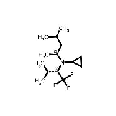 CC(C)C[C@H](C)N(C1CC1)[C@@H](C(C)C)C(F)(F)F